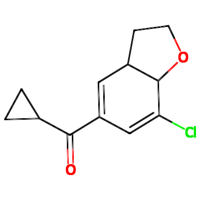 O=C(C1=CC2CCOC2C(Cl)=C1)C1CC1